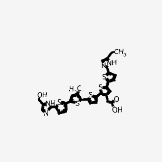 CCc1cnc(-c2ccc(-c3cc(CC(=O)O)c(-c4ccc(-c5sc(-c6ccc(-c7ncc(CO)[nH]7)s6)cc5C)s4)s3)s2)[nH]1